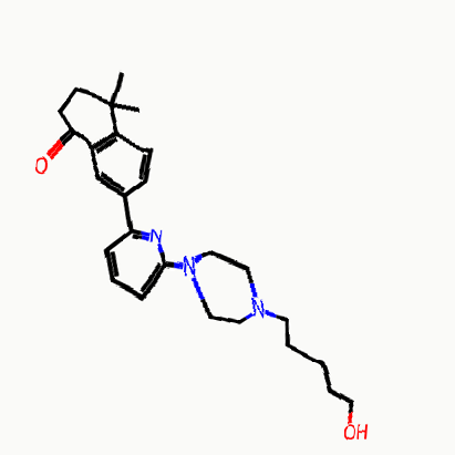 CC1(C)CCC(=O)c2cc(-c3cccc(N4CCN(CCCCCO)CC4)n3)ccc21